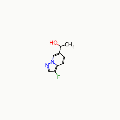 CC(O)c1ccc2c(F)cnn2c1